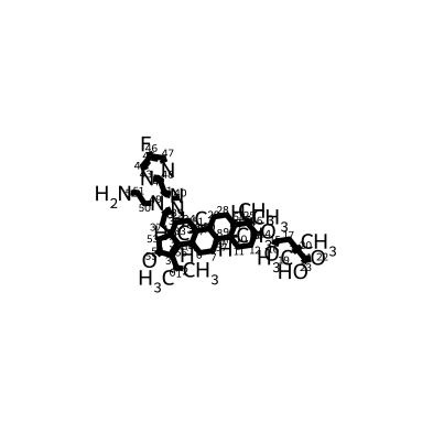 CC(C)C1=C2[C@H]3CC[C@@H]4[C@@]5(C)CC[C@H](OC(=O)CC(C)(C)C(=O)O)C(C)(C)[C@@H]5CC[C@@]4(C)[C@]3(C)CC[C@@]2(Cc2nnc(-c3ncc(F)cn3)n2CCN)CC1=O